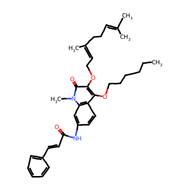 CCCCCCOc1c(OC/C=C(\C)CCC=C(C)C)c(=O)n(C)c2cc(NC(=O)C=Cc3ccccc3)ccc12